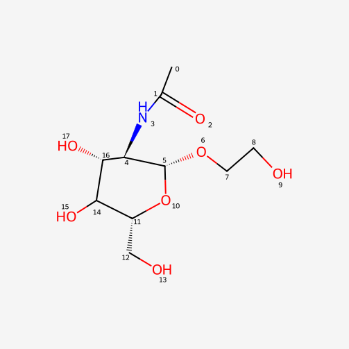 CC(=O)N[C@H]1[C@H](OCCO)O[C@H](CO)C(O)[C@@H]1O